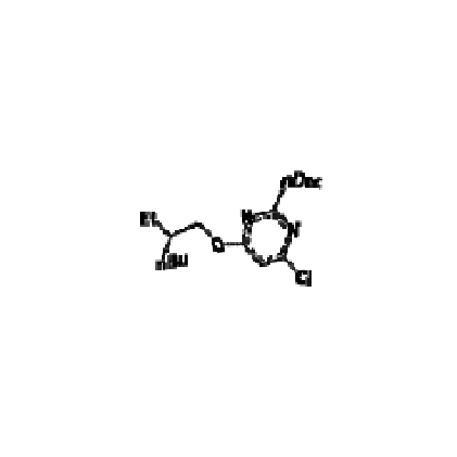 CCCCCCCCCCc1nc(Cl)cc(OCC(CC)CCCC)n1